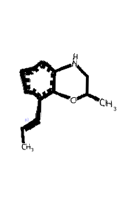 C/C=C/c1cccc2c1OC(C)CN2